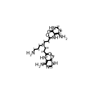 NCCCN(CCC(=O)Nc1c(N)nc[nH]c1=O)CCC(=O)Nc1c(N)nc[nH]c1=O